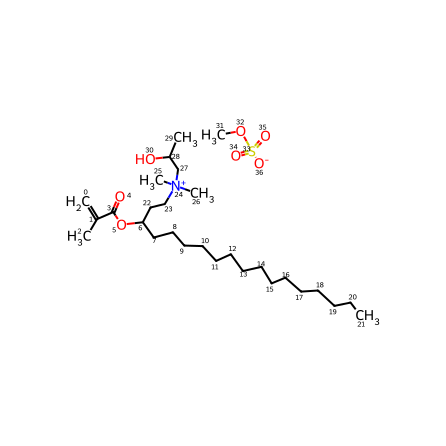 C=C(C)C(=O)OC(CCCCCCCCCCCCCCC)CC[N+](C)(C)CC(C)O.COS(=O)(=O)[O-]